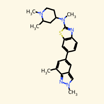 Cc1cc(-c2ccc3nc(N(C)C4CCN(C)C(C)C4)sc3c2)cc2cn(C)nc12